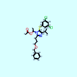 CC(=O)OC(C)n1c(CCCOCc2ccccc2)nc(C(C)C)c1Sc1cc(Cl)cc(Cl)c1